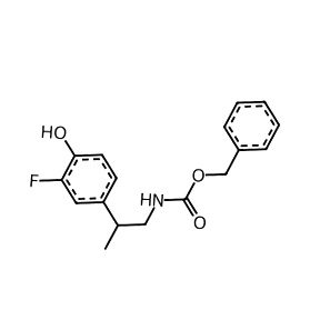 CC(CNC(=O)OCc1ccccc1)c1ccc(O)c(F)c1